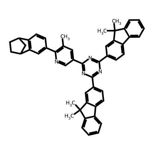 Cc1cc(-c2nc(-c3ccc4c(c3)C(C)(C)c3ccccc3-4)nc(-c3ccc4c(c3)C(C)(C)c3ccccc3-4)n2)cnc1-c1ccc2c(c1)C1CCC2C1